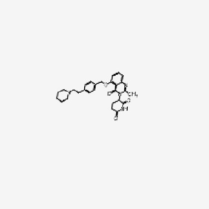 Cc1nc2cccc(OCc3ccc(CCN4CCCCC4)cc3)c2c(=O)n1C1CCC(=O)NC1=O